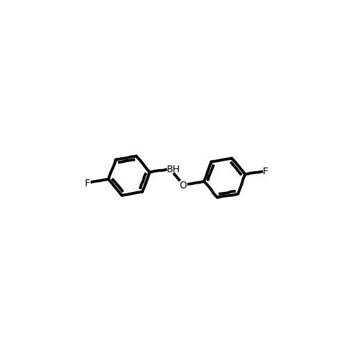 Fc1ccc(BOc2ccc(F)cc2)cc1